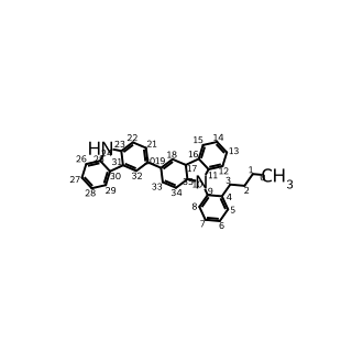 CCCCc1ccccc1N1c2ccccc2C2C=C(c3ccc4[nH]c5ccccc5c4c3)C=CC21